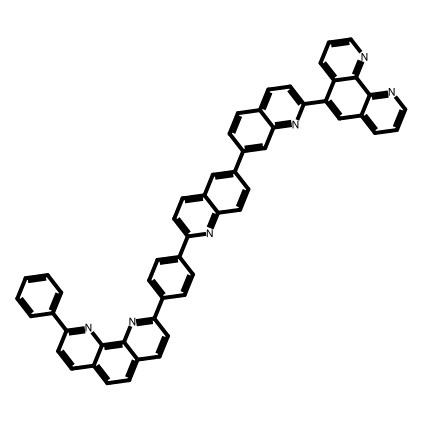 c1ccc(-c2ccc3ccc4ccc(-c5ccc(-c6ccc7cc(-c8ccc9ccc(-c%10cc%11cccnc%11c%11ncccc%10%11)nc9c8)ccc7n6)cc5)nc4c3n2)cc1